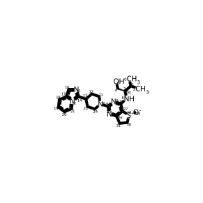 CC(C)[C@H](CO)Nc1nc(N2CCC(c3ncc4ccccn34)CC2)nc2c1[S+]([O-])CC2